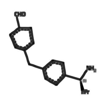 CCC[C@H](N)c1ccc(Cc2ccc(C=O)cc2)cc1